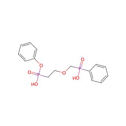 O=P(O)(CCOCP(=O)(O)c1ccccc1)Oc1ccccc1